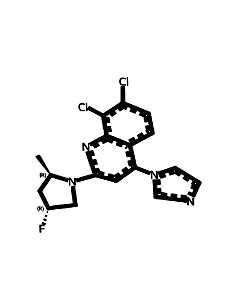 C[C@@H]1C[C@@H](F)CN1c1cc(-n2ccnc2)c2ccc(Cl)c(Cl)c2n1